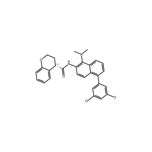 CN(C)c1c(NC(=O)[C@H]2CCOc3ccccc32)ccc2c(-c3cc(Cl)cc(Cl)c3)cccc12